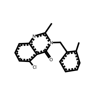 Cc1ccccc1Cn1c(C)nc2cccc(Cl)c2c1=O